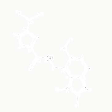 COc1ccc2nc(C)n(C)c2c1CNC(=O)c1csc(C(F)F)c1